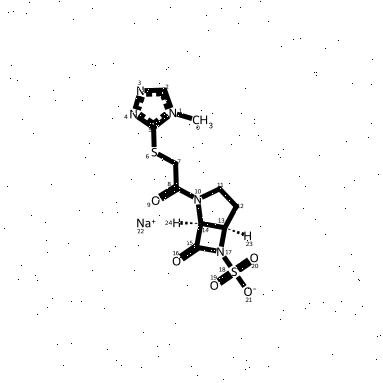 Cn1cnnc1SCC(=O)N1CC[C@@H]2[C@H]1C(=O)N2S(=O)(=O)[O-].[Na+]